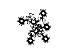 CCS[C@@H]1OC(COC(=O)c2ccccc2)[C@@H](O[C@H]2OC3COC(c4ccccc4)O[C@H]3C(OC(=O)c3ccccc3)C2OC(=O)c2ccccc2)C(OC)C1OC(=O)c1ccccc1